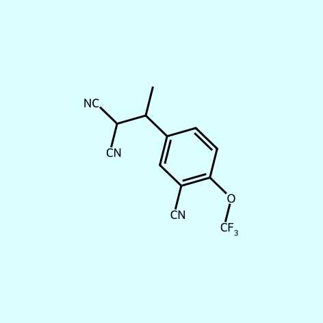 CC(c1ccc(OC(F)(F)F)c(C#N)c1)C(C#N)C#N